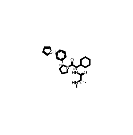 CN[C@@H](C)C(=O)N[C@H](C(=O)N1CCC[C@@H]1c1cccc([SH]2C=CC=C2)c1)C1CCCCC1